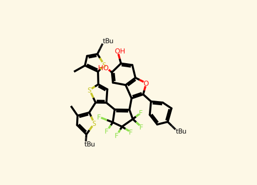 Cc1cc(C(C)(C)C)sc1-c1cc(C2=C(c3c(-c4ccc(C(C)(C)C)cc4)oc4cc(O)c(O)cc34)C(F)(F)C(F)(F)C2(F)F)c(-c2sc(C(C)(C)C)cc2C)s1